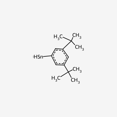 CC(C)(C)c1c[c]([SnH])cc(C(C)(C)C)c1